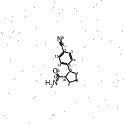 N#Cc1ccc(C2CCCC2C(N)=O)cc1